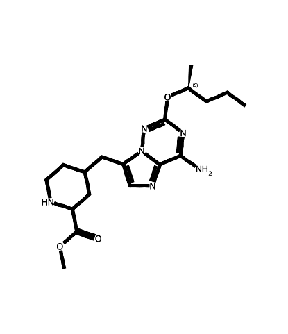 CCC[C@H](C)Oc1nc(N)c2ncc(CC3CCNC(C(=O)OC)C3)n2n1